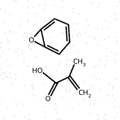 C=C(C)C(=O)O.c1ccc2c(c1)O2